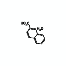 O.O=C(O)c1ccc2ccccc2c1